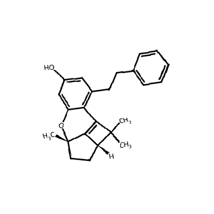 CC1(C)C2=C3[C@H]1CC[C@]3(C)Oc1cc(O)cc(CCc3ccccc3)c12